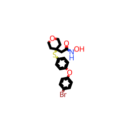 O=C(CC1(Sc2ccc(Oc3ccc(Br)cc3)cc2)CCOCC1)NO